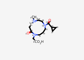 CN1CCC(=O)N(CC(=O)O)CCCN(C(=O)C2CC2)CC1